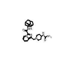 NC(=O)NC1CCN(Cc2nc(C(=O)NC34CC5CC(CC(C5)C3)C4)n3ccccc23)CC1